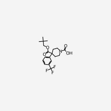 CC(C)(C)COC(=O)C1(c2cccc(C(F)(F)F)c2)CCN(C(=O)O)CC1